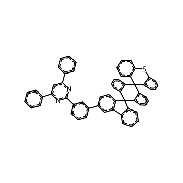 c1ccc(-c2cc(-c3ccccc3)nc(-c3cccc(-c4ccc5c(c4)-c4ccccc4C54c5ccccc5C5(c6ccccc6Sc6ccccc65)c5ccccc54)c3)n2)cc1